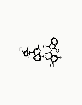 Cc1cc(-n2ncc(F)c2C)c2cccc(OCc3c(Cl)cc(F)cc3C(C)N3C(=O)c4ccccc4C3=O)c2n1